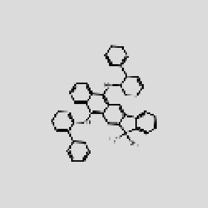 CC1(C)c2ccccc2-c2cc3c(NC4CCC=CC4C4=CCCC=C4)c4ccccc4c(NC4=CCCC=C4C4C=CC=CC4)c3cc21